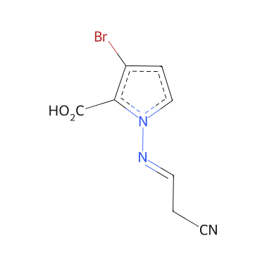 N#CCC=Nn1ccc(Br)c1C(=O)O